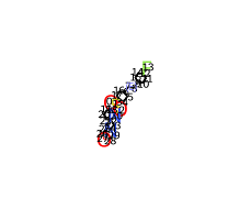 O=S(=O)(c1ccc(/C=C/c2ccc(F)cc2)cc1)c1cccc(CN2CCOCC2)n1